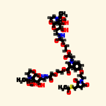 CC(=O)SCC1CC(=O)N(CCOc2ccc3c(c2)c(C(=O)OCCOCC(=O)NCC2OC4OCCN(C(C)=O)[C@@H]4[C@@H](O)[C@H]2O)cn3CC(=O)OCCOCC(=O)NC[C@H]2OC3OCCN(C(C)=O)[C@@H]3[C@@H](O)[C@H]2O)C1=O